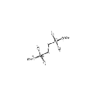 CO[Si](Cl)(Cl)CC[Si](Cl)(Cl)OC